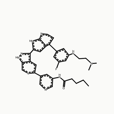 CCCCC(=O)Nc1cncc(-c2cc3c(-c4cc5c(-c6cc(F)cc(NCCN(C)C)c6)ccnc5[nH]4)n[nH]c3cn2)c1